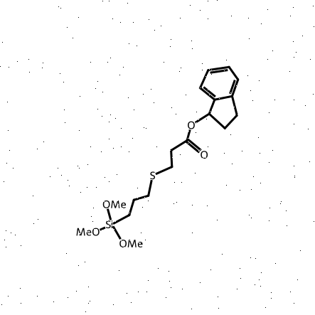 CO[Si](CCCSCCC(=O)OC1CCc2ccccc21)(OC)OC